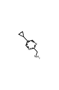 NCc1ncc(C2CC2)cn1